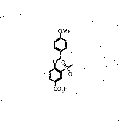 COc1ccc(COc2ccc(C(=O)O)cc2S(C)(=O)=O)cc1